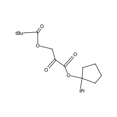 CC(C)C1(OC(=O)C(=O)COC(=O)C(C)(C)C)CCCC1